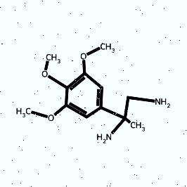 COc1cc(C(C)(N)CN)cc(OC)c1OC